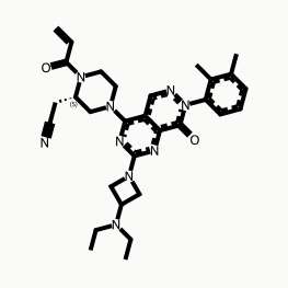 C=CC(=O)N1CCN(c2nc(N3CC(N(CC)CC)C3)nc3c(=O)n(-c4cccc(C)c4C)ncc23)C[C@@H]1CC#N